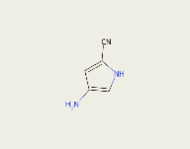 N#Cc1cc(N)c[nH]1